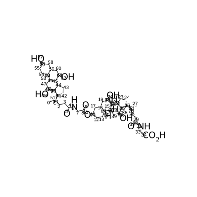 C[C@H](CCC(=O)NCC(=O)O[C@@H]1CC[C@@]2(C)C(C1)C[C@@H](O)[C@H]1[C@@H]3CC[C@H]([C@H](C)CCC(=O)NCC(=O)O)[C@@]3(C)[C@@H](O)C[C@@H]12)[C@H]1CCC2C3C(C[C@H](O)[C@@]21C)[C@@]1(C)CC[C@@H](O)CC1C[C@H]3O